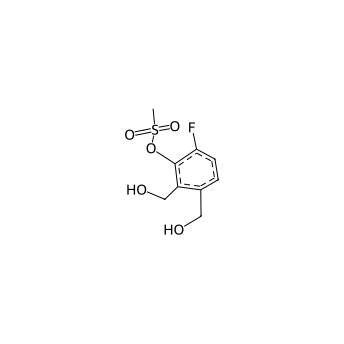 CS(=O)(=O)Oc1c(F)ccc(CO)c1CO